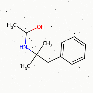 CC(O)NC(C)(C)Cc1ccccc1